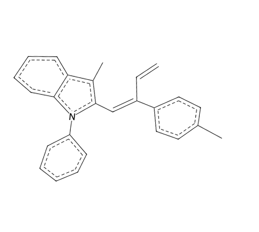 C=C/C(=C\c1c(C)c2ccccc2n1-c1ccccc1)c1ccc(C)cc1